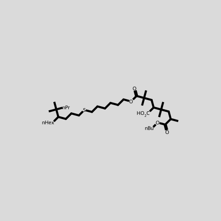 CCCCCCC(CCCSCCCCCCOC(=O)C(C)(C)CC(C(=O)O)C(C)(C)CC(C)C(=O)OCCCC)C(C)(C)CCC